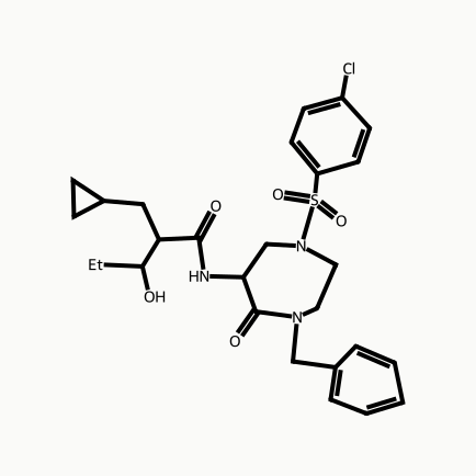 CCC(O)C(CC1CC1)C(=O)NC1CN(S(=O)(=O)c2ccc(Cl)cc2)CCN(Cc2ccccc2)C1=O